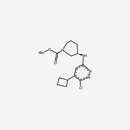 CC(C)(C)OC(=O)N1CCC[C@@H](Nc2cc(C3CCC3)c(Cl)nn2)C1